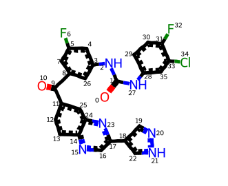 O=C(Nc1cc(F)cc(C(=O)c2ccc3ncc(-c4cn[nH]c4)nc3c2)c1)Nc1ccc(F)c(Cl)c1